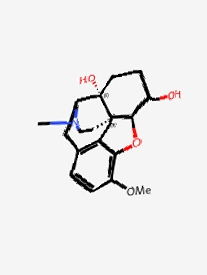 COc1ccc2c3c1OC1C(O)CC[C@]4(O)C(C2)N(C)CC[C@@]314